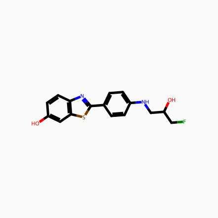 Oc1ccc2nc(-c3ccc(NCC(O)CF)cc3)sc2c1